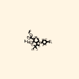 CCOC(=O)c1ncc2c(c(C(C)(C)C)cn2-c2ccc(F)cc2)c1O